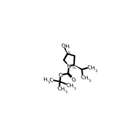 CC(C)[C@@H]1C[C@H](O)CN1C(=O)OC(C)(C)C